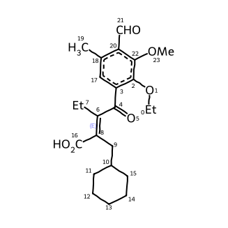 CCOc1c(C(=O)/C(CC)=C(\CC2CCCCC2)C(=O)O)cc(C)c(C=O)c1OC